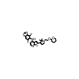 CC1(C)C(c2cc3c(Nc4c(F)cc5scnc5c4F)ccnc3s2)=CCN1CCOC1CCCCO1